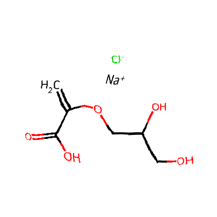 C=C(OCC(O)CO)C(=O)O.[Cl-].[Na+]